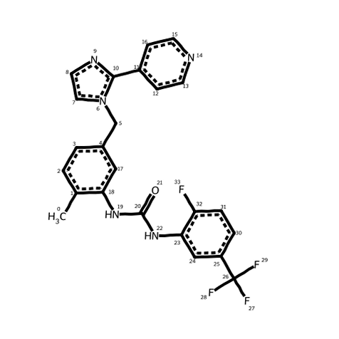 Cc1ccc(Cn2ccnc2-c2ccncc2)cc1NC(=O)Nc1cc(C(F)(F)F)ccc1F